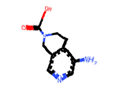 Nc1cncc2c1CCN(C(=O)O)C2